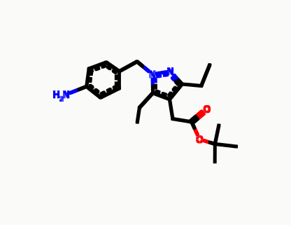 CCc1nn(Cc2ccc(N)cc2)c(CC)c1CC(=O)OC(C)(C)C